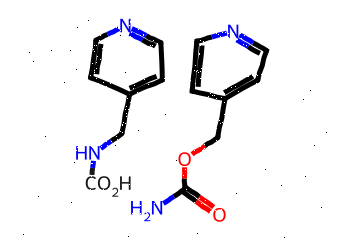 NC(=O)OCc1ccncc1.O=C(O)NCc1ccncc1